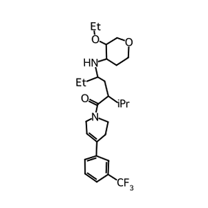 CCOC1COCCC1NC(CC)CC(C(=O)N1CC=C(c2cccc(C(F)(F)F)c2)CC1)C(C)C